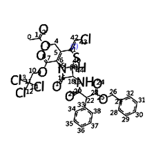 CC(=O)OCC1=C(C(=O)OCC(Cl)(Cl)Cl)N2C(=O)C(NC(=O)C(C(=O)OCc3ccccc3)c3ccccc3)[C@H]2S/C1=C\Cl